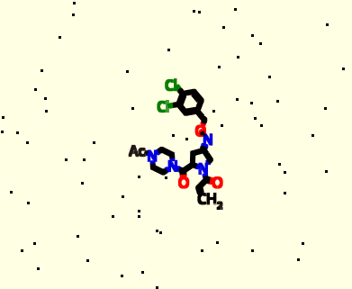 C=CC(=O)N1CC(=NOCc2ccc(Cl)c(Cl)c2)CC1C(=O)N1CCN(C(C)=O)CC1